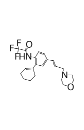 O=C(Nc1ccc(C=CCN2CCOCC2)cc1C1=CCCCC1)C(F)(F)F